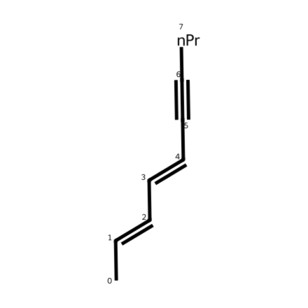 CC=CC=CC#CCCC